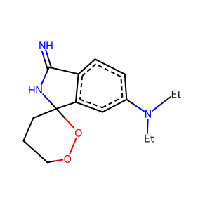 CCN(CC)c1ccc2c(c1)C1(CCCOO1)NC2=N